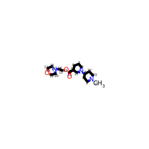 CN1CCC(N2CCCC(C(=O)OCCN3CCOCC3)C2)CC1